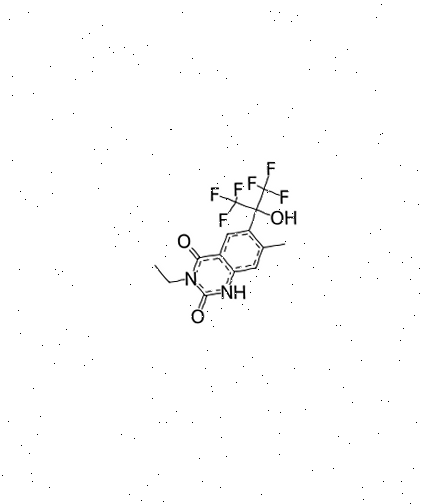 CCn1c(=O)[nH]c2cc(C)c(C(O)(C(F)(F)F)C(F)(F)F)cc2c1=O